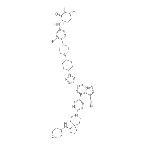 CCC1(C(=O)NC2CCOCC2)CCN(c2ccc(-c3nc(-c4cnn(C5CCC(N6CCC(c7ccc(N[C@H]8CCC(=O)NC8=O)cc7F)CC6)CC5)c4)cn4ncc(C#N)c34)cn2)CC1